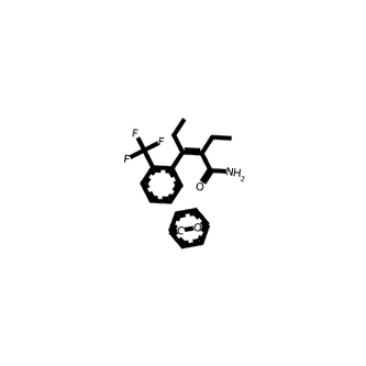 CCC(C(N)=O)=C(CC)c1ccccc1C(F)(F)F.c1cc2ccc1CO2